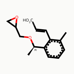 Cc1cccc([C@@H](C)OCC2CO2)c1C=CC(=O)O